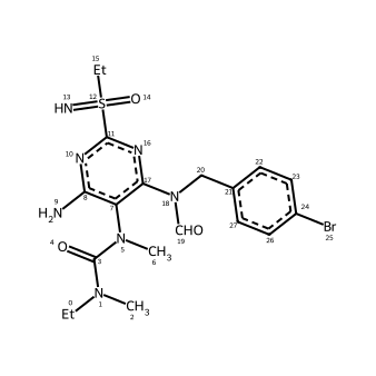 CCN(C)C(=O)N(C)c1c(N)nc(S(=N)(=O)CC)nc1N(C=O)Cc1ccc(Br)cc1